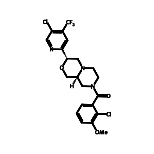 COc1cccc(C(=O)N2CCN3C[C@@H](c4cc(C(F)(F)F)c(Cl)cn4)OC[C@@H]3C2)c1Cl